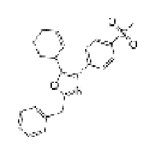 CS(=O)(=O)c1ccc(-c2nc(Cc3ccccc3)oc2C2C=CCCC2)cc1